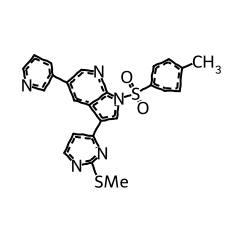 CSc1nccc(-c2cn(S(=O)(=O)c3ccc(C)cc3)c3ncc(-c4cccnc4)cc23)n1